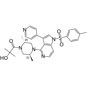 Cc1ccc(S(=O)(=O)n2cc(-c3ccncc3)c3c(N4C[C@@H](C)N(C(=O)C(C)(C)O)C[C@@H]4C)nccc32)cc1